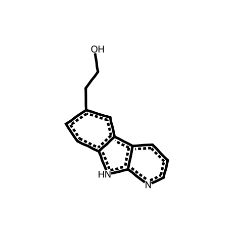 OCCc1ccc2[nH]c3ncccc3c2c1